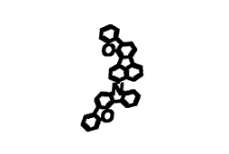 c1ccc2c(c1)oc1c3c(ccc12)-c1cccc2c(-n4c5ccccc5c5c6oc7ccccc7c6ccc54)ccc-3c12